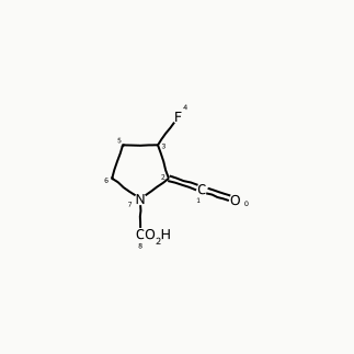 O=C=C1C(F)CCN1C(=O)O